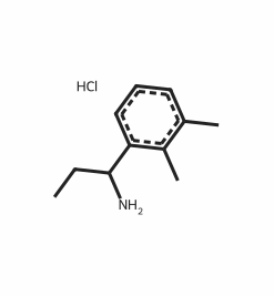 CCC(N)c1cccc(C)c1C.Cl